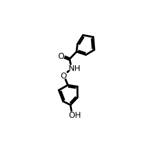 O=C(NOc1ccc(O)cc1)c1ccccc1